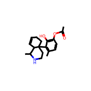 CC(=O)Oc1ccc(C)c(C23CCC=CC2C(C)NCC3)c1O